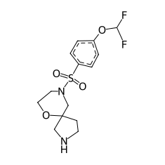 O=S(=O)(c1ccc(OC(F)F)cc1)N1CCOC2(CCNC2)C1